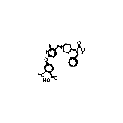 COc1cc(Oc2ccc(CN3CCC(N4C(=O)OCC4c4ccccc4)CC3)c(C)n2)ccc1C(=O)O